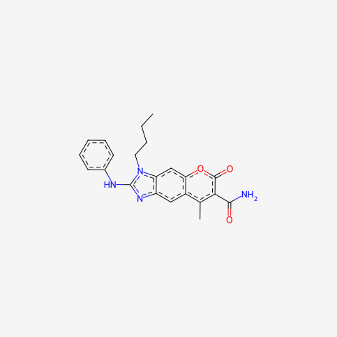 CCCCn1c(Nc2ccccc2)nc2cc3c(C)c(C(N)=O)c(=O)oc3cc21